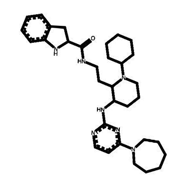 O=C(NCCC1C(Nc2nccc(N3CCCCCC3)n2)CCCN1C1CCCCC1)C1Cc2ccccc2N1